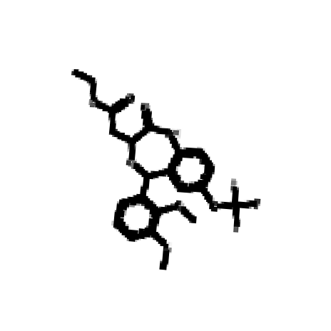 CCOC(=O)CC1OC(c2cccc(OC)c2OC)c2cc(OC(F)(F)F)ccc2NC1=O